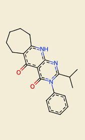 CC(C)c1nc2[nH]c3c(c(=O)c2c(=O)n1-c1ccccc1)CCCCC3